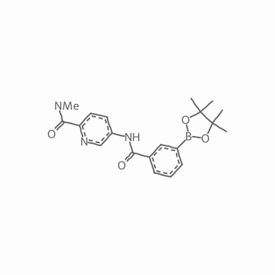 CNC(=O)c1ccc(NC(=O)c2cccc(B3OC(C)(C)C(C)(C)O3)c2)cn1